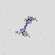 CCC(C)C(=O)NCCCCNC(=O)C(C)CC